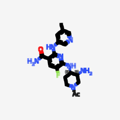 CC(=O)N1CC[C@@H](Nc2nc(Nc3cncc(C)c3)c(C(N)=O)cc2F)[C@@H](N)C1